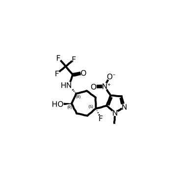 Cn1ncc([N+](=O)[O-])c1[C@@]1(F)CC[C@@H](O)[C@H](NC(=O)C(F)(F)F)CC1